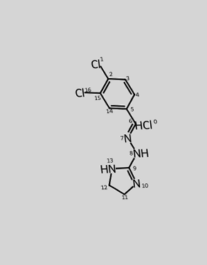 Cl.Clc1ccc(/C=N/NC2=NCCN2)cc1Cl